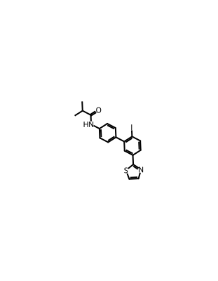 CC(C)C(=O)Nc1ccc(-c2cc(-c3nccs3)ccc2I)cc1